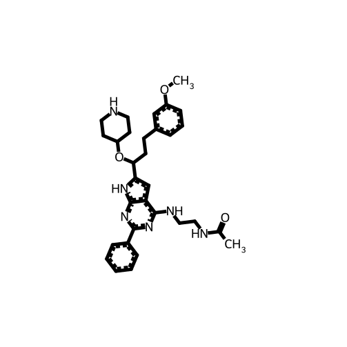 COc1cccc(CCC(OC2CCNCC2)c2cc3c(NCCNC(C)=O)nc(-c4ccccc4)nc3[nH]2)c1